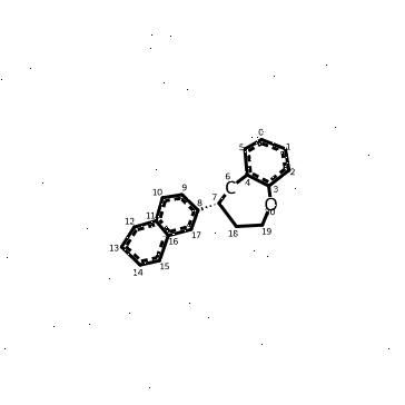 c1ccc2c(c1)C[C@@H](c1ccc3ccccc3c1)CCO2